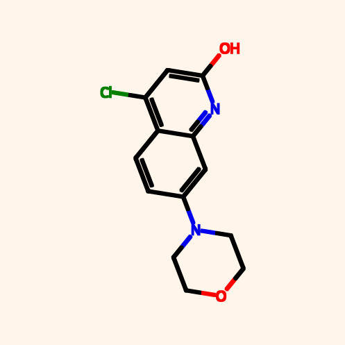 Oc1cc(Cl)c2ccc(N3CCOCC3)cc2n1